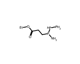 CCOC(=O)CCP(N)PP